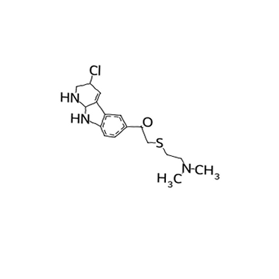 CN(C)CCSCC(=O)c1ccc2c(c1)C1=CC(Cl)CNC1N2